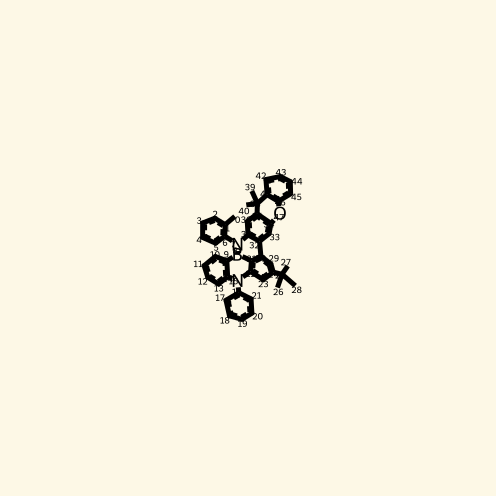 Cc1ccccc1N1B2c3ccccc3N(c3ccccc3)c3cc(C(C)(C)C)cc(c32)-c2cc3c(cc21)C(C)(C)c1ccccc1O3